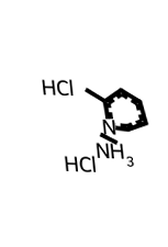 CC.Cc1ccccn1.Cl.Cl.N